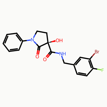 O=C(NCc1ccc(F)c(Br)c1)[C@@]1(O)CCN(c2ccccc2)C1=O